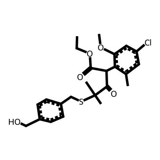 CCOC(=O)C(C(=O)C(C)(C)SCc1ccc(CO)cc1)c1c(C)cc(Cl)cc1OC